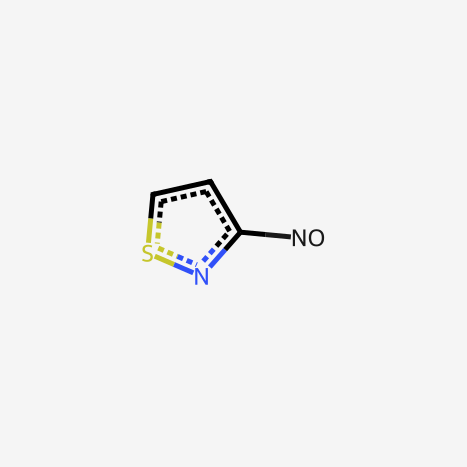 O=Nc1ccsn1